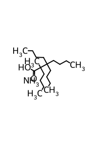 CCCCC(CCCC)(CCCC)C(C)(CCCC)C(=O)O.N